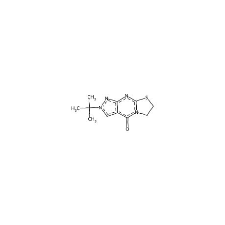 CC(C)(C)n1cc2c(=O)n3c(nc2n1)SCC3